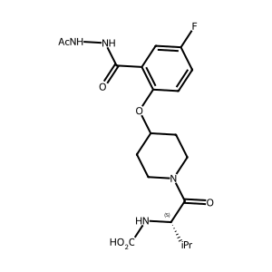 CC(=O)NNC(=O)c1cc(F)ccc1OC1CCN(C(=O)[C@@H](NC(=O)O)C(C)C)CC1